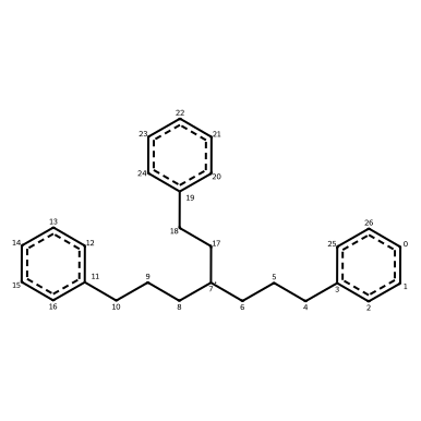 c1ccc(CCC[C](CCCc2ccccc2)CCc2ccccc2)cc1